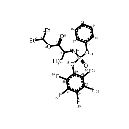 CCC(CC)OC(=O)C(C)NP(=O)(Oc1ccccc1)Oc1c(F)c(F)c(F)c(F)c1F